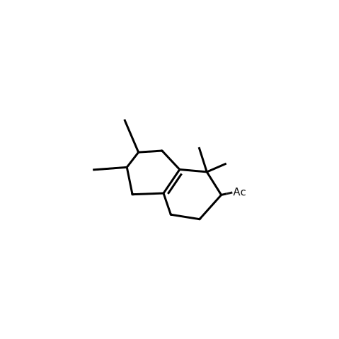 CC(=O)C1CCC2=C(CC(C)C(C)C2)C1(C)C